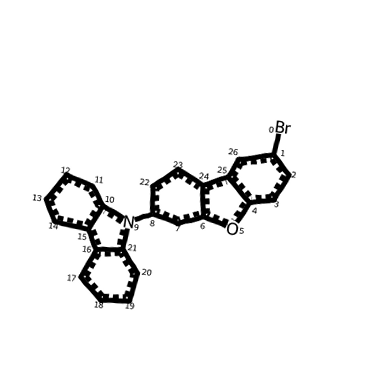 Brc1ccc2oc3cc(-n4c5ccccc5c5ccccc54)ccc3c2c1